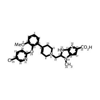 COc1cccc(C2=CCN(CC3Nc4sc(C(=O)O)cc4N3C)CC2)c1Oc1ccc(Cl)cn1